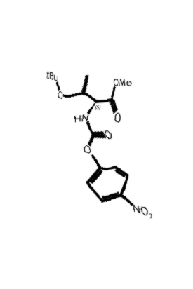 COC(=O)[C@@H](NC(=O)Oc1ccc([N+](=O)[O-])cc1)C(C)OC(C)(C)C